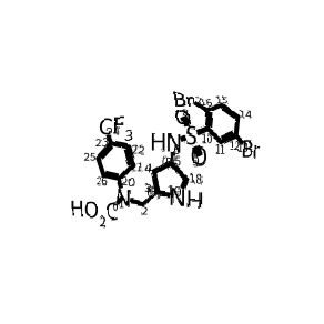 O=C(O)N(C[C@H]1C[C@@H](NS(=O)(=O)c2cc(Br)ccc2Br)CN1)c1ccc(C(F)(F)F)cc1